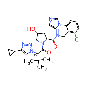 CC(C)(C)[C@@H](C(=O)N1CC(O)CC1C(=O)NCc1c(Cl)cccc1-n1ccnc1)n1cc(C2CC2)nn1